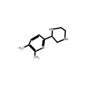 Cc1ccc(C2CNCCN2)nc1C